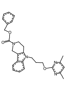 Cc1cc(C)nc(OCCCn2c3c(c4ccccc42)CN(C(=O)OCc2ccccc2)CC3)n1